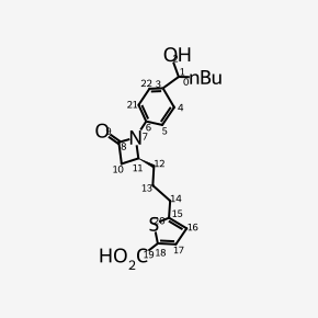 CCCCC(O)c1ccc(N2C(=O)C[C@@H]2CCCc2ccc(C(=O)O)s2)cc1